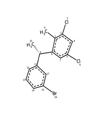 Cc1c(Cl)cc(Cl)cc1[C@@H](C)c1cccc(Br)c1